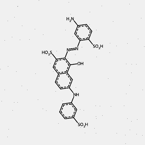 Nc1ccc(S(=O)(=O)O)c(N=Nc2c(S(=O)(=O)O)cc3ccc(Nc4cccc(S(=O)(=O)O)c4)cc3c2O)c1